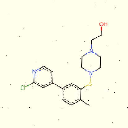 Cc1ccc(-c2ccnc(Cl)c2)cc1SN1CCN(CCO)CC1